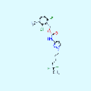 Cc1ccc(F)c(COC(=O)Nc2ccn(CCCCC(C)(F)F)n2)c1Cl